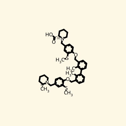 CSc1cc(CN2CCCC[C@H]2C)ccc1OCc1cccc(-c2cccc(COc3ccc(CN4CCCC[C@H]4C(=O)O)cc3SC)c2C)c1C